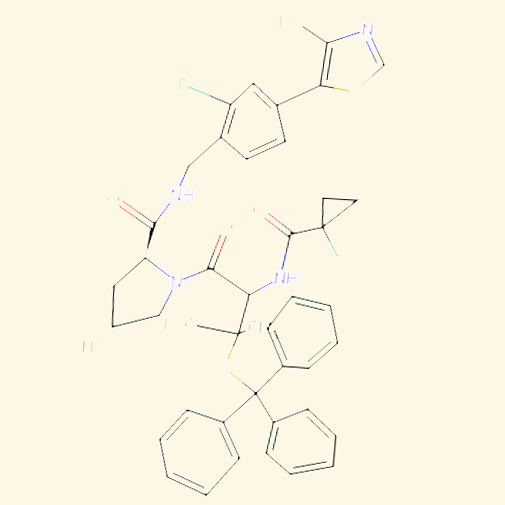 Cc1ncsc1-c1ccc(CNC(=O)[C@@H]2C[C@@H](O)CN2C(=O)C(NC(=O)C2(F)CC2)C(C)(C)SC(c2ccccc2)(c2ccccc2)c2ccccc2)c(F)c1